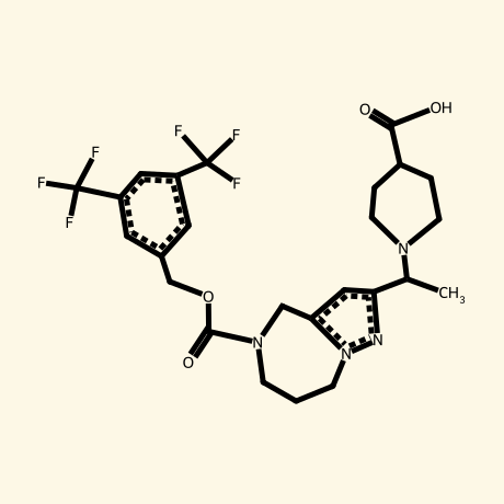 CC(c1cc2n(n1)CCCN(C(=O)OCc1cc(C(F)(F)F)cc(C(F)(F)F)c1)C2)N1CCC(C(=O)O)CC1